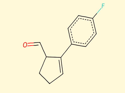 O=CC1CCC=C1c1ccc(F)cc1